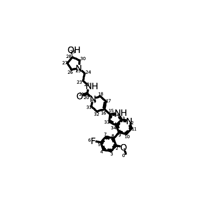 COc1ccc(F)cc1-c1ccnc2[nH]c(C3=CCN(C(=O)NCCN4CC[C@H](O)C4)CC3)cc12